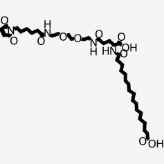 O=C(O)CCCCCCCCCCCCCCCCC(=O)NC(CCC(=O)NCCOCCOCCNC(=O)CCCCCN1C(=O)C=CC1=O)C(=O)O